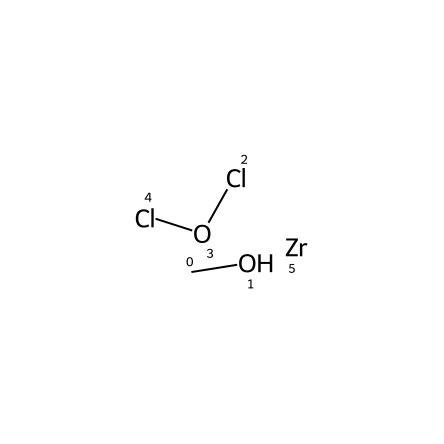 CO.ClOCl.[Zr]